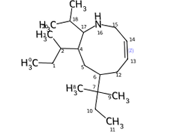 CCC(C)C1CC(C(C)(C)CC)C/C=C\CNC1C(C)C